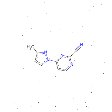 Cc1ccn(-c2ccnc(C#N)n2)n1